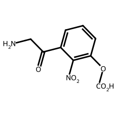 NCC(=O)c1cccc(OC(=O)O)c1[N+](=O)[O-]